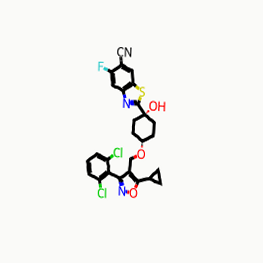 N#Cc1cc2sc([C@]3(O)CC[C@@H](OCc4c(-c5c(Cl)cccc5Cl)noc4C4CC4)CC3)nc2cc1F